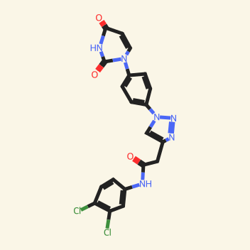 O=C(Cc1cn(-c2ccc(-n3ccc(=O)[nH]c3=O)cc2)nn1)Nc1ccc(Cl)c(Cl)c1